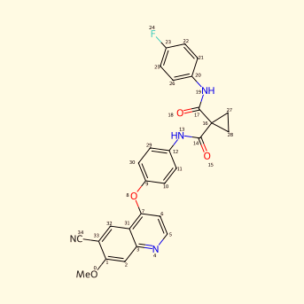 COc1cc2nccc(Oc3ccc(NC(=O)C4(C(=O)Nc5ccc(F)cc5)CC4)cc3)c2cc1C#N